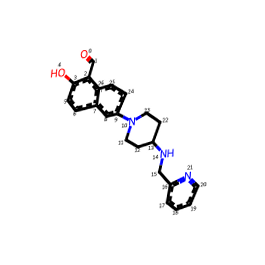 O=Cc1c(O)ccc2cc(N3CCC(NCc4ccccn4)CC3)ccc12